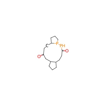 O=C1CCC2CCCP2PC(=O)CCC2CCCC2C1